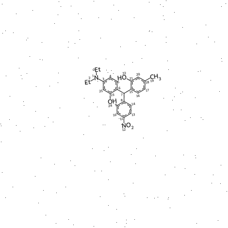 CCN(CC)c1ccc(C(c2ccc([N+](=O)[O-])cc2)c2ccc(C)cc2O)c(O)c1